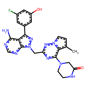 Cc1ccn2nc(Cn3nc(-c4cc(O)cc(F)c4)c4c(N)ncnc43)nc(N3CCNC(=O)C3)c12